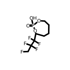 O=P1(O)OCCCCC(C(F)(F)C(F)(F)CF)O1